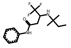 CCC(C)(C)NC(CC(=O)Nc1ccccc1)C(F)(F)F